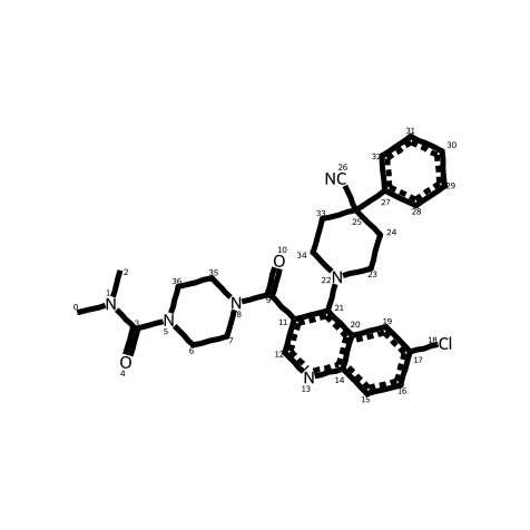 CN(C)C(=O)N1CCN(C(=O)c2cnc3ccc(Cl)cc3c2N2CCC(C#N)(c3ccccc3)CC2)CC1